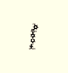 CC(C)(COC1CCN(c2ccc(-c3nnc(-c4cccc(Cl)c4)[nH]3)cn2)CC1)C(=O)O